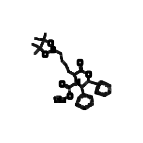 CC(C)(C)OC(=O)N1C(CCCCB2OC(C)(C)C(C)(C)O2)C(=O)OC(c2ccccc2)C1c1ccccc1